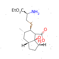 CCOC(=O)[C@@H](N)CS[C@H]1C2C(=O)O[C@@H]3CC[C@H](C[C@@H]1C)[C@]23O